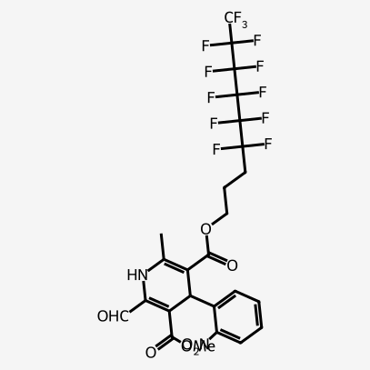 COC(=O)C1=C(C=O)NC(C)=C(C(=O)OCCCC(F)(F)C(F)(F)C(F)(F)C(F)(F)C(F)(F)C(F)(F)F)C1c1ccccc1[N+](=O)[O-]